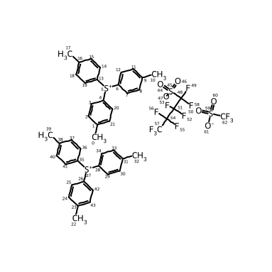 Cc1ccc([S+](c2ccc(C)cc2)c2ccc(C)cc2)cc1.Cc1ccc([S+](c2ccc(C)cc2)c2ccc(C)cc2)cc1.O=S(=O)([O-])C(F)(F)C(F)(F)C(F)(F)C(F)(F)F.O=S(=O)([O-])C(F)(F)F